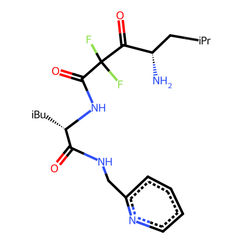 CCC(C)[C@H](NC(=O)C(F)(F)C(=O)[C@@H](N)CC(C)C)C(=O)NCc1ccccn1